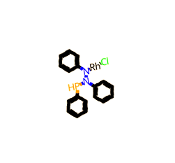 [Cl][Rh][N](c1ccccc1)N(Pc1ccccc1)c1ccccc1